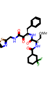 COC[C@@H](NC(=O)C1CCCC(F)(F)C1)C(=O)N[C@H](Cc1ccccc1)C(=O)C(=O)NCc1nccs1